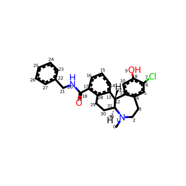 CN1CCc2cc(Cl)c(O)cc2[C@H]2c3cccc(C(=O)NCc4ccccc4)c3CC[C@@H]21